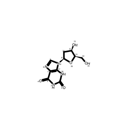 O=c1[nH]c(=O)c2ncn([C@H]3C[C@@H](O)[C@@H](CO)O3)c2[nH]1